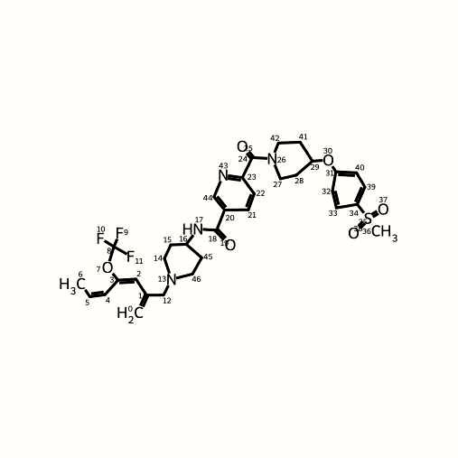 C=C(/C=C(\C=C/C)OC(F)(F)F)CN1CCC(NC(=O)c2ccc(C(=O)N3CCC(Oc4ccc(S(C)(=O)=O)cc4)CC3)nc2)CC1